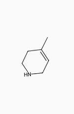 CC1=CCNCC1